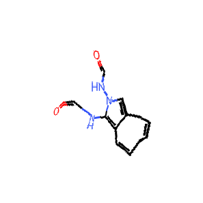 O=CNc1c2ccccc2cn1NC=O